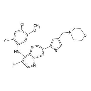 [C]c1cnc2cc(-c3cc(CN4CCOCC4)cs3)ccc2c1Nc1cc(OC)c(Cl)cc1Cl